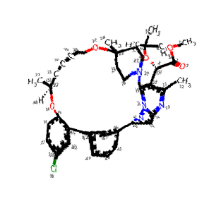 COC(=O)[C@@H](OC(C)(C)C)c1c(C)nc2cc3nn2c1N1CCC(C)(CC1)OCCCC[C@H](C)Oc1ccc(Cl)cc1-c1cccc-3c1